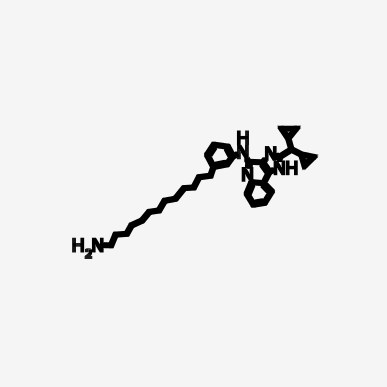 NCCCCCCCCCCCCCc1cccc(Nc2nc3ccccc3c3[nH]c(C(C4CC4)C4CC4)nc23)c1